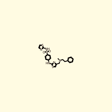 CN(CCc1ccccc1)Cc1csc(Nc2ccc(S(=O)(=O)Nc3nccs3)cc2)n1